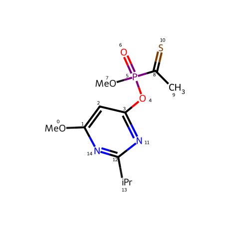 COc1cc(OP(=O)(OC)C(C)=S)nc(C(C)C)n1